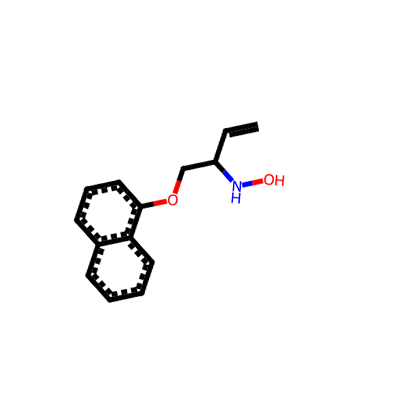 C=CC(COc1cccc2ccccc12)NO